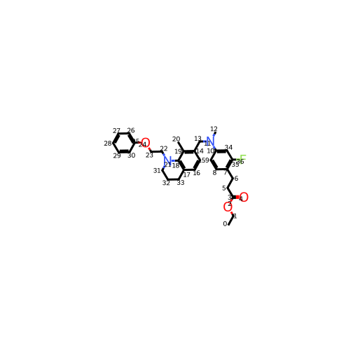 CCOC(=O)CCc1ccc(N(C)Cc2ccc3c(c2C)N(CCOc2ccccc2)CCC3)cc1F